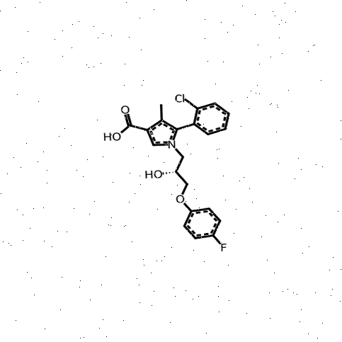 Cc1c(C(=O)O)cn(C[C@@H](O)COc2ccc(F)cc2)c1-c1ccccc1Cl